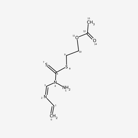 C=C/N=C\N(N)C(=S)SCCOC(C)=O